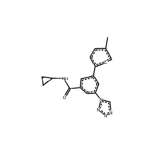 Cc1ccc(-c2cc(C(=O)NC3CC3)cc(-n3cnnn3)c2)cc1